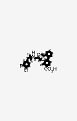 Cc1cc(-c2ccccc2C(C)OCC(O)CNC(C)(C)Cc2ccc(Cl)c(F)c2)ccc1C(=O)O